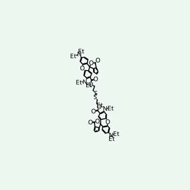 CCN(CC)c1ccc2c(c1)Oc1cc(N(CC)CC)c(C(=O)OCCSSCCOC(=O)c3cc4c(cc3N(CC)CC)Oc3cc(N(CC)CC)ccc3C43OC(=O)c4ccccc43)cc1C21OC(=O)c2ccccc21